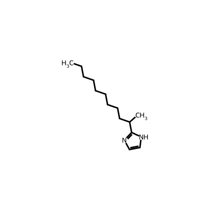 CCCCCCCCCC(C)c1ncc[nH]1